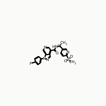 C[C@H](NC(=O)c1cncc2c1cnn2-c1ccc(F)cc1)c1ccc(S(C)(=O)=O)nc1